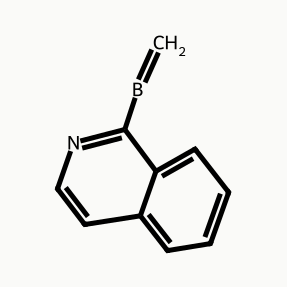 C=Bc1nccc2ccccc12